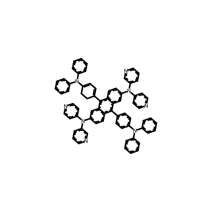 C1=C(c2c3cc(N(c4ccncc4)c4cccnc4)ccc3c(-c3ccc(N(c4ccccc4)c4ccccc4)cc3)c3cc(N(c4ccncc4)c4cccnc4)ccc23)CCC(N(c2ccccc2)c2ccccc2)=C1